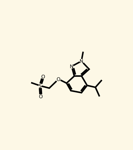 CC(C)c1ccc(OCS(C)(=O)=O)c2nn(C)cc12